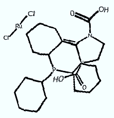 O=C(O)N1CCN(C(=O)O)C1=C1CCCCC1P(C1CCCCC1)C1CCCCC1.[Cl][Ru][Cl]